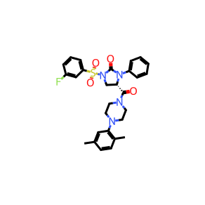 Cc1ccc(C)c(N2CCN(C(=O)[C@@H]3CN(S(=O)(=O)c4cccc(F)c4)C(=O)N3c3ccccc3)CC2)c1